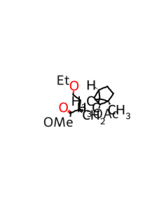 C=C(CCOCC)C(=O)OC.CC(=O)O[C@H]1C[C@H]2CC[C@@]1(C)C2(C)C